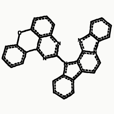 c1ccc2c(c1)Oc1cccc3nc(-n4c5ccccc5c5ccn6c7ccccc7nc6c54)nc-2c13